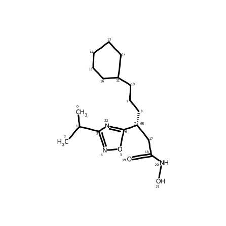 CC(C)c1noc([C@H](CCCC2CCCCC2)CC(=O)NO)n1